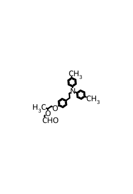 Cc1ccc(N(CCc2ccc(OCC(C)OCC=O)cc2)c2ccc(C)cc2)cc1